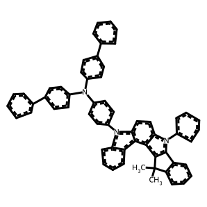 CC1(C)c2ccccc2-c2c1c1c3c4ccccc4n(-c4ccc(N(c5ccc(-c6ccccc6)cc5)c5ccc(-c6ccccc6)cc5)cc4)c3ccc1n2-c1ccccc1